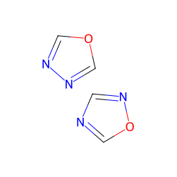 c1ncon1.c1nnco1